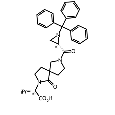 CC(C)[C@@H](C(=O)O)N1CCC2(CCN(C(=O)[C@@H]3CN3C(c3ccccc3)(c3ccccc3)c3ccccc3)C2)C1=O